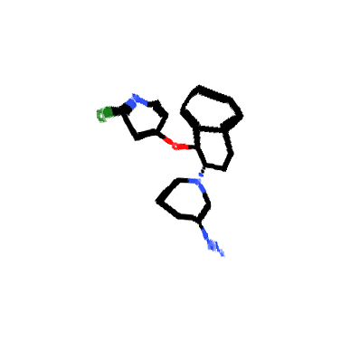 N[C@H]1CCCN([C@H]2CCc3ccccc3[C@@H]2Oc2ccnc(Cl)c2)C1